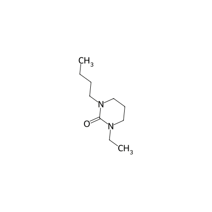 CCCCN1CCCN(CC)C1=O